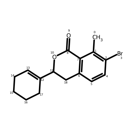 Cc1c(Br)ccc2c1C(=O)OC(C1=CCCCC1)C2